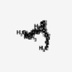 CCCCOCCOc1ccc(-c2ccc3c(c2)/C=C(/C(=O)Nc2ccc([S+]([O-])Cc4c(C)ncn4CC)cc2)CCCN3CC2CCCCO2)cc1